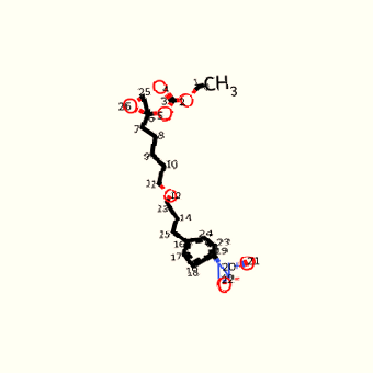 CCOC(=O)OC1(CCCCCOCCCc2ccc([N+](=O)[O-])cc2)CO1